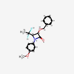 COc1ccc(N2C(=O)C(OCc3ccccc3)C2C(C)(F)F)cc1